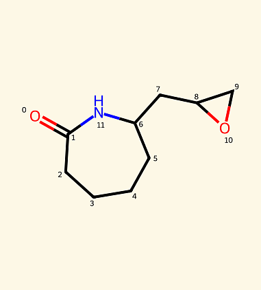 O=C1CCCCC(CC2CO2)N1